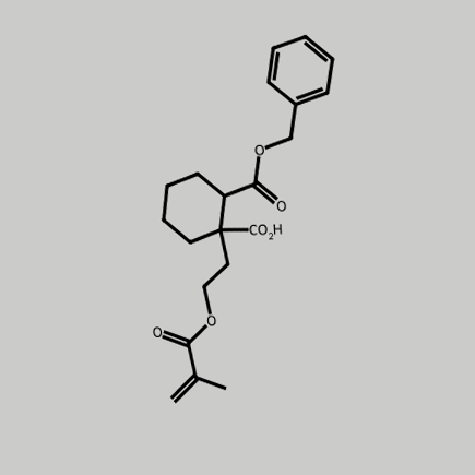 C=C(C)C(=O)OCCC1(C(=O)O)CCCCC1C(=O)OCc1ccccc1